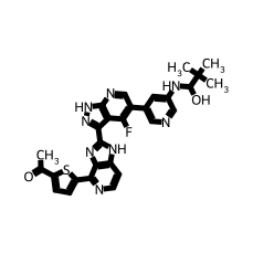 CC(=O)c1ccc(-c2nccc3[nH]c(-c4n[nH]c5ncc(-c6cncc(NC(O)C(C)(C)C)c6)c(F)c45)nc23)s1